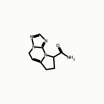 NC(=O)C1CCC2=CCn3ncnc3N21